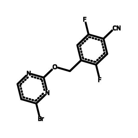 N#Cc1cc(F)c(COc2nccc(Br)n2)cc1F